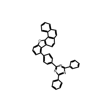 c1ccc(-c2nc(-c3ccccc3)nc(-c3ccc(-c4cccc5oc6c(ccc7ccc8ccccc8c76)c45)cc3)n2)cc1